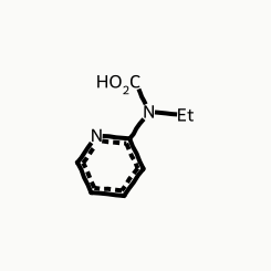 CCN(C(=O)O)c1ccccn1